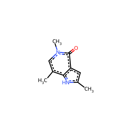 Cc1cc2c(=O)n(C)cc(C)c2[nH]1